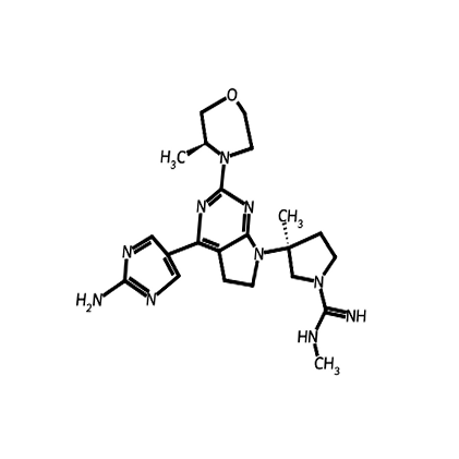 CNC(=N)N1CC[C@](C)(N2CCc3c(-c4cnc(N)nc4)nc(N4CCOC[C@@H]4C)nc32)C1